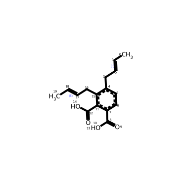 C/C=C/Cc1ccc(C(=O)O)c(C(=O)O)c1C/C=C/C